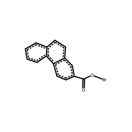 O=C(OBr)c1ccc2c(ccc3ccccc32)c1